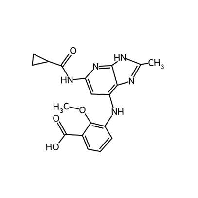 COc1c(Nc2cc(NC(=O)C3CC3)nc3[nH]c(C)nc23)cccc1C(=O)O